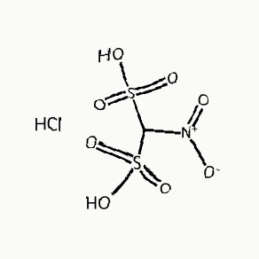 Cl.O=[N+]([O-])C(S(=O)(=O)O)S(=O)(=O)O